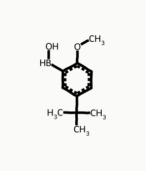 COc1ccc(C(C)(C)C)cc1BO